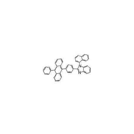 c1ccc(-c2c3ccccc3c(-c3ccc(-c4nc5ccccc5n4-c4cccc5ccccc45)cc3)c3ccccc23)cc1